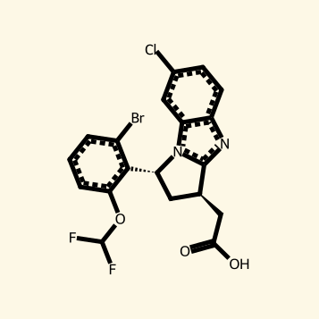 O=C(O)C[C@H]1C[C@H](c2c(Br)cccc2OC(F)F)n2c1nc1ccc(Cl)cc12